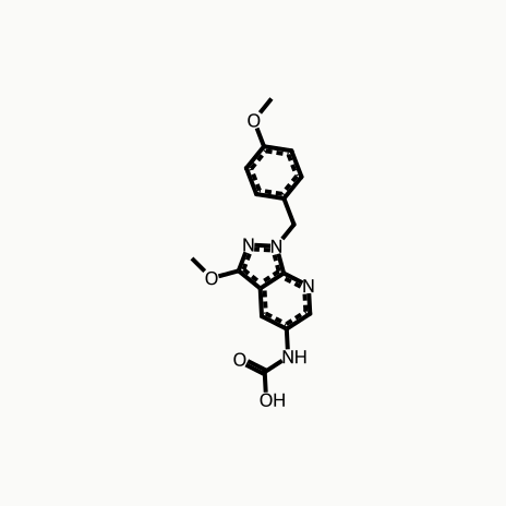 COc1ccc(Cn2nc(OC)c3cc(NC(=O)O)cnc32)cc1